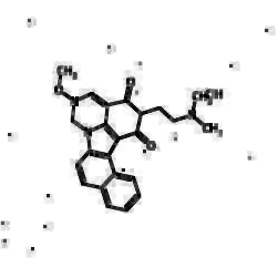 CON1C=C2C(=O)C(CCN(C)C)C(=O)c3c2n(c2ccc4ccccc4c32)C1.Cl